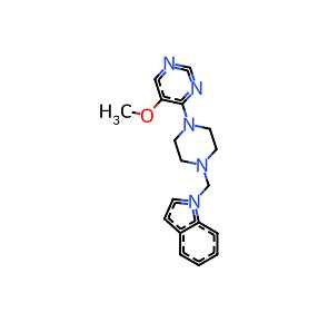 COc1cncnc1N1CCN(Cn2ccc3ccccc32)CC1